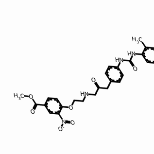 COC(=O)c1ccc(OCCNCC(=O)Cc2ccc(NC(=O)Nc3ccccc3C)cc2)c([N+](=O)[O-])c1